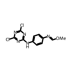 COC=Nc1ccc(Nc2nc(Cl)nc(Cl)n2)cc1